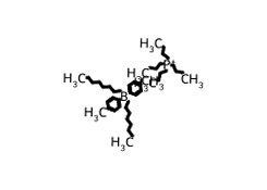 CCCCCCCC[B-](CCCCCCCC)(c1ccc(C)cc1)c1ccc(C)cc1.CCCC[P+](CCCC)(CCCC)CCCC